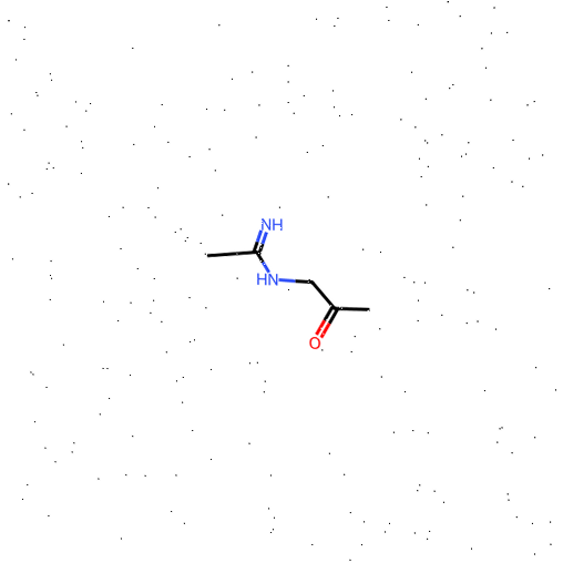 CC(=N)NCC(C)=O